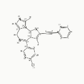 Cc1c(C#Cc2ccccn2)sc2c1C(c1ccc(Cl)cc1)=NCc1nnc(C)n1-2